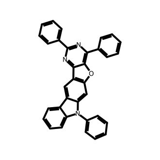 c1ccc(-c2nc(-c3ccccc3)c3oc4cc5c(cc4c3n2)c2ccccc2n5-c2ccccc2)cc1